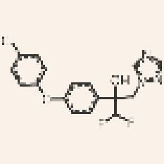 OC(Cn1cncn1)(c1ccc(Oc2ccc(Cl)cc2)cc1)C(F)F